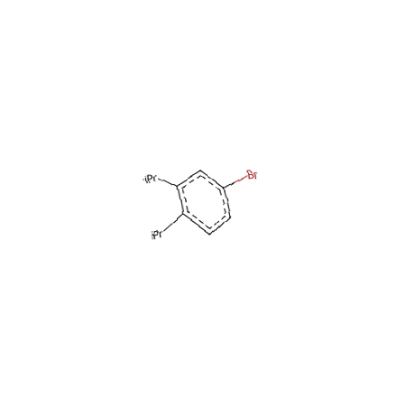 C[C](C)c1cc(Br)ccc1C(C)C